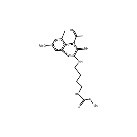 COc1cc(C)c2c(c1)nc(NCCCCNC(=O)OC(C)(C)C)c(=N)n2C(C)=N